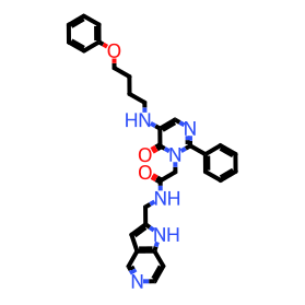 O=C(Cn1c(-c2ccccc2)ncc(NCCCCOc2ccccc2)c1=O)NCc1cc2cnccc2[nH]1